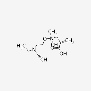 C#CN(CC)CCO[N+](C)(C)CC(=C)C(=O)O